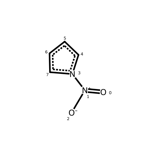 O=[N+]([O-])n1cccc1